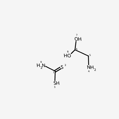 NC(=S)S.NCC(O)O